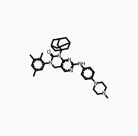 Cc1cc(C)c(C)c(N2Cc3cnc(Nc4ccc(N5CCN(C)CC5)cc4)nc3N(C34CC5CC(CC(C5)C3)C4)C2=O)c1